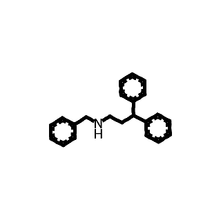 c1ccc(CNCCC(c2ccccc2)c2ccccc2)cc1